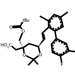 Cc1cc(C)c(C=C[C@@H]2C[C@](COC(=O)C(C)(C)C)(CC(=O)O)OC(C)(C)O2)c(-c2ccc(F)c(C)c2)c1